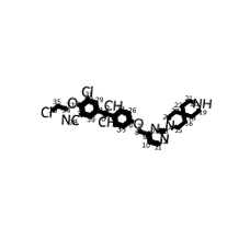 CC(C)(c1ccc(OCc2ccnc(N3CCC4(CCNCC4)CC3)n2)cc1)c1cc(Cl)c(OCCCl)c(C#N)c1